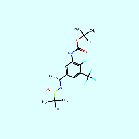 C[C@@H](N[S@@+]([O-])C(C)(C)C)c1cc(NC(=O)OC(C)(C)C)c(F)c(C(F)(F)F)c1